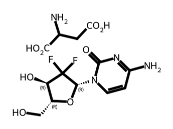 NC(CC(=O)O)C(=O)O.Nc1ccn([C@@H]2O[C@H](CO)[C@@H](O)C2(F)F)c(=O)n1